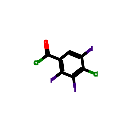 O=C(Cl)c1cc(I)c(Cl)c(I)c1I